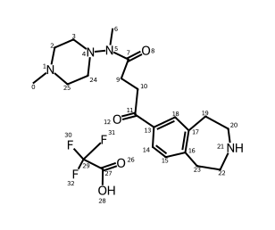 CN1CCN(N(C)C(=O)CCC(=O)c2ccc3c(c2)CCNCC3)CC1.O=C(O)C(F)(F)F